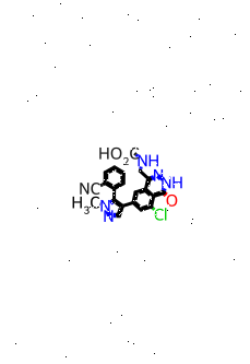 Cn1ncc(-c2cc(Cl)c3c(=O)[nH]nc(CNC(=O)O)c3c2)c1-c1ccccc1C#N